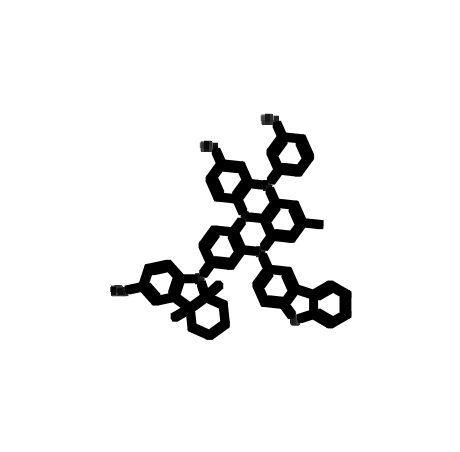 Cc1cc2c3c(c1)N(c1cccc(C(C)(C)C)c1)c1cc(C(C)(C)C)ccc1B3c1ccc(N3c4ccc(C(C)(C)C)cc4C4(C)CCCCC34C)cc1N2c1ccc2oc3ccccc3c2c1